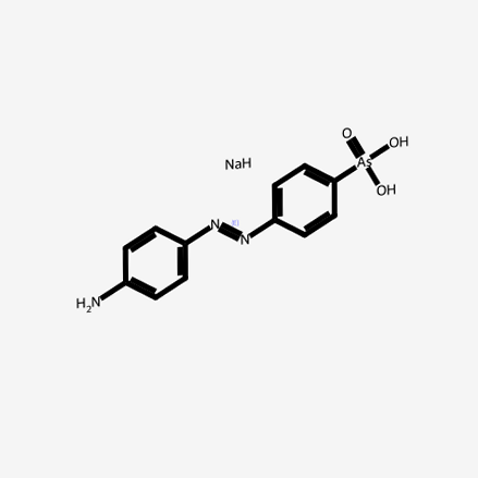 Nc1ccc(/N=N/c2ccc([As](=O)(O)O)cc2)cc1.[NaH]